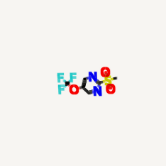 CS(=O)(=O)c1ncc(OC(F)(F)F)cn1